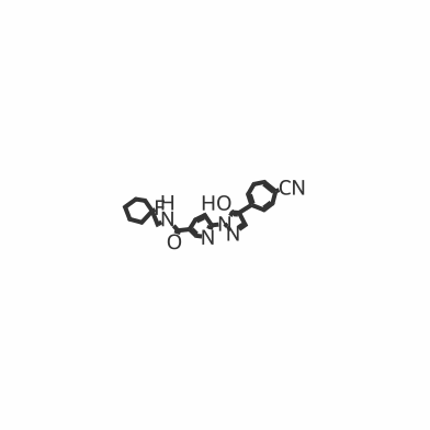 N#CC1=CCC=C(c2cnn(-c3ccc(C(=O)NCC4(F)CCCCC4)cn3)c2O)C=C1